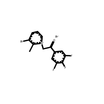 Cc1c(Br)ccc[n+]1CC(=O)c1cc(F)c(F)c(F)c1.[Br-]